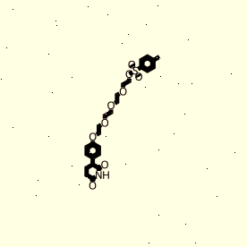 Cc1ccc(S(=O)(=O)OCCOCCOCCOCCOc2ccc(C3CCC(=O)NC3=O)cc2)cc1